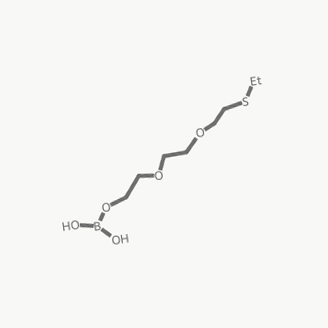 CCSCCOCCOCCOB(O)O